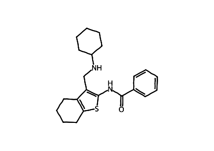 O=C(Nc1sc2c(c1CNC1CCCCC1)CCCC2)c1ccccc1